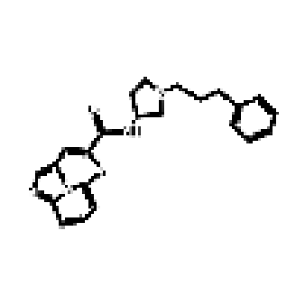 O=C(N[C@@H]1CCN(CCCc2ccccc2)C1)C1=Cc2cnc3cccc(n23)S1